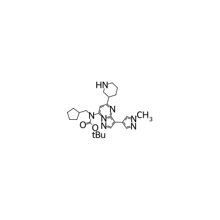 Cn1cc(-c2cnn3c(N(CC4CCCC4)C(=O)OC(C)(C)C)cc(C4CCCNC4)nc23)cn1